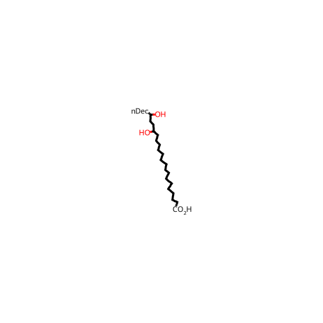 CCCCCCCCCCC(O)CCC(O)CCCCCCCCCCCCCCCC(=O)O